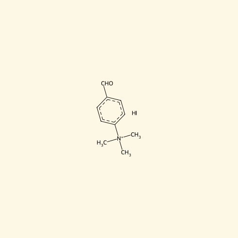 C[N+](C)(C)c1ccc(C=O)cc1.I